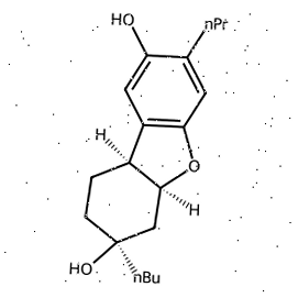 CCCC[C@]1(O)CC[C@H]2c3cc(O)c(CCC)cc3O[C@H]2C1